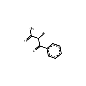 [2H]C(C(=O)c1ccccc1)C(=O)C(C)(C)C